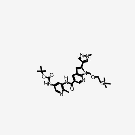 Cc1ncc(NC(=O)OC(C)(C)C)cc1NC(=O)c1cnc2c(c1)cc(-c1cnn(C)c1)n2COCC[Si](C)(C)C